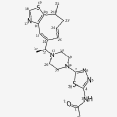 CC(=O)Nc1nnc(N2CCN([C@@H](C)C3=C/c4ncsc4C(C)C\C=C\3)CC2)s1